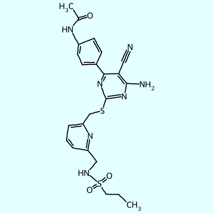 CCCS(=O)(=O)NCc1cccc(CSc2nc(N)c(C#N)c(-c3ccc(NC(C)=O)cc3)n2)n1